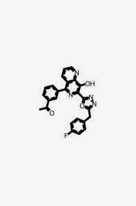 CC(=O)c1cccc(-c2nc(-c3nnc(Cc4ccc(F)cc4)o3)c(O)c3ncccc23)c1